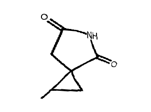 CC1CC12CC(=O)NC2=O